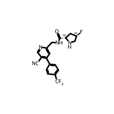 N#Cc1cnc(CNC(=O)[C@@H]2C[C@@H](F)CN2)cc1-c1ccc(C(F)(F)F)cc1